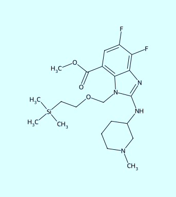 COC(=O)c1cc(F)c(F)c2nc(NC3CCCN(C)C3)n(COCC[Si](C)(C)C)c12